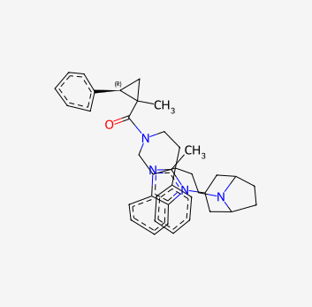 Cc1nc2ccccc2n1C1CC2CCC(C1)N2CCC1(c2ccccc2)CCN(C(=O)C2(C)C[C@@H]2c2ccccc2)CC1